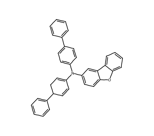 C1=CC(c2ccccc2)CC=C1N(c1ccc(-c2ccccc2)cc1)c1ccc2oc3ccccc3c2c1